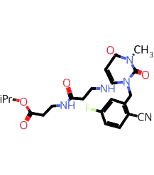 CC(C)OC(=O)CCNC(=O)CCNc1cc(=O)n(C)c(=O)n1Cc1cc(F)ccc1C#N